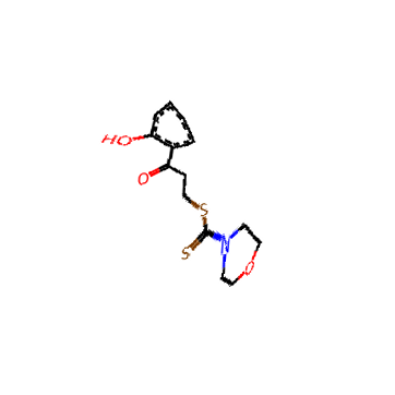 O=C(CCSC(=S)N1CCOCC1)c1ccccc1O